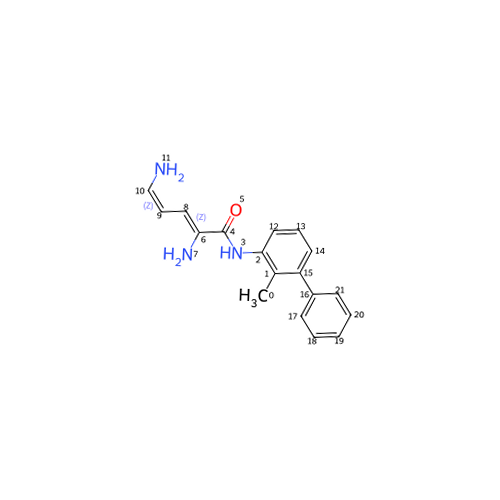 Cc1c(NC(=O)/C(N)=C/C=C\N)cccc1-c1ccccc1